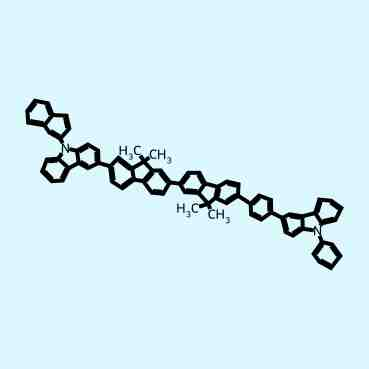 CC1(C)c2cc(-c3ccc(-c4ccc5c(c4)c4ccccc4n5-c4ccccc4)cc3)ccc2-c2ccc(-c3ccc4c(c3)C(C)(C)c3cc(-c5ccc6c(c5)c5ccccc5n6-c5ccc6ccccc6c5)ccc3-4)cc21